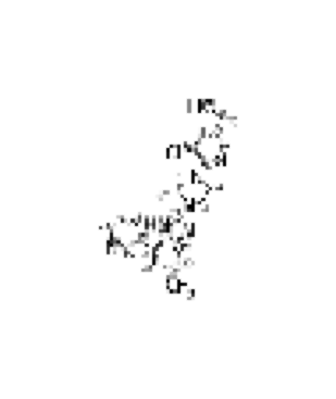 C[C@@H]1CN(c2ncc([C@@H](C)O)cc2Cl)CCN1c1nc2cc(C(F)(F)F)cc(-c3cccnc3)c2[nH]1